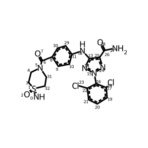 N=S1(=O)CCN(C(=O)c2ccc(Nc3nn(-c4c(Cl)cccc4Cl)nc3C(N)=O)cc2)CC1